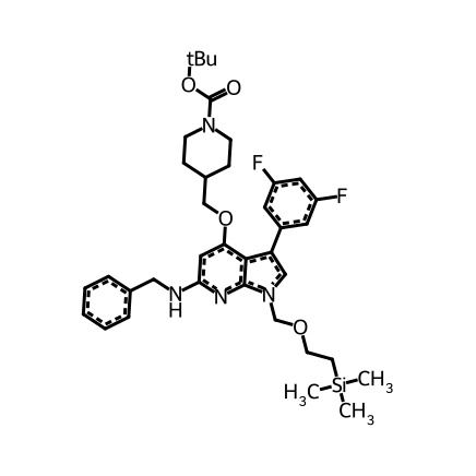 CC(C)(C)OC(=O)N1CCC(COc2cc(NCc3ccccc3)nc3c2c(-c2cc(F)cc(F)c2)cn3COCC[Si](C)(C)C)CC1